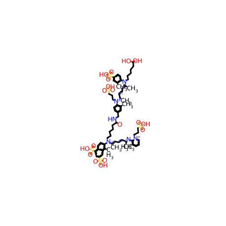 C\C(=C/C=C/C(C)=[N+](\CCCS(=O)(=O)O)c1ccc(CNC(=O)CCCCCN(/C(C)=C/C=C/C(C)=N/c2c(C)ccc[n+]2CCCS(=O)(=O)O)c2ccc3c(S(=O)(=O)O)cc(S(=O)(=O)O)cc3c2C)cc1C)N(CCCCCC(O)O)c1ccc(S(=O)(=O)O)cc1C